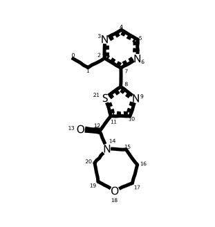 CCc1nccnc1-c1ncc(C(=O)N2CCCOCC2)s1